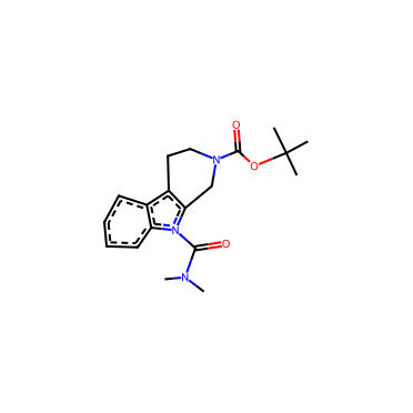 CN(C)C(=O)n1c2c(c3ccccc31)CCN(C(=O)OC(C)(C)C)C2